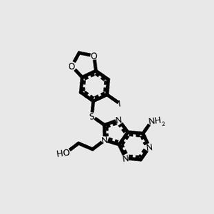 Nc1ncnc2c1nc(Sc1cc3c(cc1I)OCO3)n2CCO